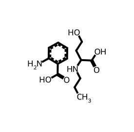 CCCNC(CCO)C(=O)O.Nc1ccccc1C(=O)O